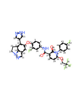 O=C(Nc1ccc(Oc2cc3cnn4c3c(c2-c2cn[nH]c2)CC4)c(F)c1)c1ccc(OCC(F)(F)F)n(-c2ccc(F)cc2)c1=O